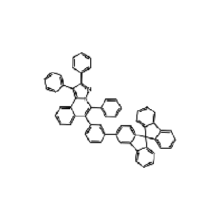 c1ccc(-c2nn3c(-c4ccccc4)c(-c4cccc(-c5ccc6c(c5)-c5ccccc5C65c6ccccc6-c6ccccc65)c4)c4ccccc4c3c2-c2ccccc2)cc1